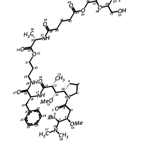 CC[C@H](C)C([C@@H](CC(=O)N1CCC[C@H]1[C@H](OC)[C@@H](C)C(=O)N[C@@H](Cc1ccccc1)C(=O)NCCCOC(=O)[C@H](C)NC(=O)CCCC(=O)OCC(OC(N)CO)OC(C)(C)C)OC)N(C)C